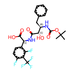 CC(C)(C)OC(=O)N[C@H](Cc1ccccc1)[C@H](O)C(=O)N[C@H](C(=O)O)c1ccc(F)c(C(F)(F)F)c1F